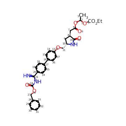 CCOC(=O)OC(C)OC(=O)C[C@@H]1C[C@@H](COc2ccc(-c3ccc(C(=N)NC(=O)OCc4ccccc4)cc3)cc2)NC1=O